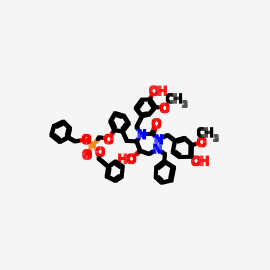 COc1cc(CN2C(=O)N(Cc3ccc(O)c(OC)c3)N(Cc3ccccc3)CC(O)C2Cc2ccccc2OCP(=O)(OCc2ccccc2)OCc2ccccc2)ccc1O